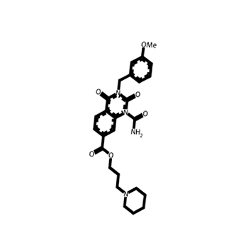 COc1cccc(Cn2c(=O)c3ccc(C(=O)OCCCN4CCCCC4)cc3n(C(N)=O)c2=O)c1